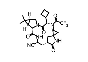 CC1(C)[C@@H]2[C@@H](C(=O)N[C@H](C#N)C[C@@H]3CC4(CC4)NC3=O)N(C(=O)[C@@H](NC(=O)C(F)(F)F)C3CCC3)C[C@@H]21